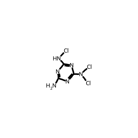 Nc1nc(NCl)nc(N(Cl)Cl)n1